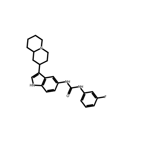 O=C(Nc1cccc(F)c1)Nc1ccc2[nH]cc(C3CCN4CCCCC4C3)c2c1